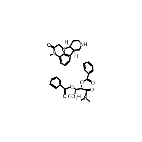 CN(C)C(=O)[C@@H](OC(=O)c1ccccc1)[C@H](OC(=O)c1ccccc1)C(=O)O.CN1C(=O)CN2c3c(cccc31)[C@@H]1CNCC[C@@H]12